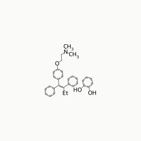 CC/C(=C(\c1ccccc1)c1ccc(OCCN(C)C)cc1)c1ccccc1.Oc1ccccc1O